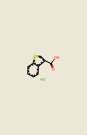 Cl.O=C(O)c1csc2ccccc12